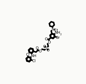 CCN(Cc1cc(C(=O)OCCS(=O)(=O)CCOC(=O)Cc2ccccc2Nc2c(Cl)cccc2Cl)cc(Br)c1N)C1CCCCC1